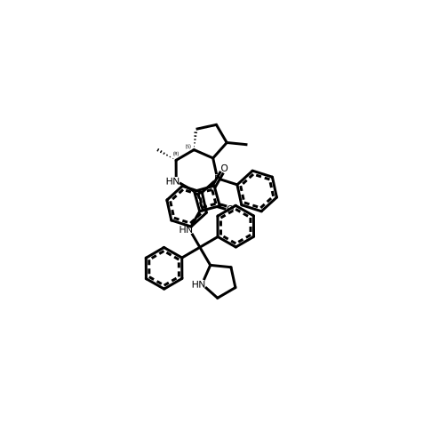 CC1CC[C@@H]([C@@H](C)Nc2c(NC(c3ccccc3)(c3ccccc3)C3CCCN3)c(=O)c2=O)C1P(c1ccccc1)c1ccccc1